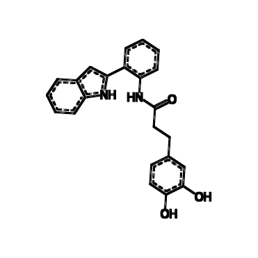 O=C(CCc1ccc(O)c(O)c1)Nc1ccccc1-c1cc2ccccc2[nH]1